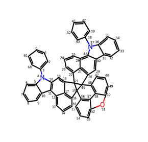 c1ccc(-n2c3ccccc3c3c4cccc5c4c(cc32)C23c4cccc6c4c(cc4c7ccccc7n(-c7ccccc7)c64)C24c2cccc6oc7cccc(c7c26)C534)cc1